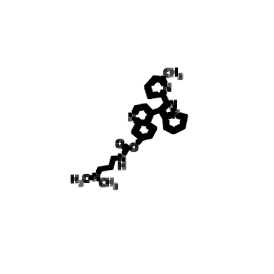 Cc1cccc(-c2nn3ccccc3c2-c2ccnc3cc(OC(=O)NCCCN(C)C)ccc23)n1